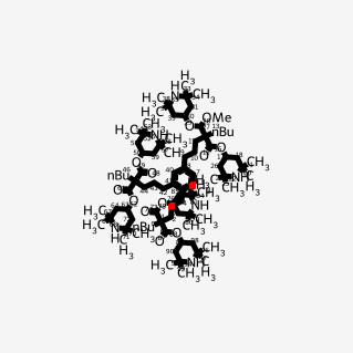 CCCCC(CCCc1ccc(CCCC(CCCC)(C(=O)OC2CC(C)(C)NC(C)(C)C2)C(OC)OC2CC(C)(C)NC(C)(C)C2)cc1CCCC(CCCC)(C(=O)OC1CC(C)(C)NC(C)(C)C1)C(=O)OC1CC(C)(C)NC(C)(C)C1)(C(=O)OC1CC(C)(C)NC(C)(C)C1)C(=O)OC1CC(C)(C)NC(C)(C)C1